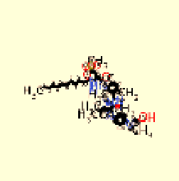 CCCCCCCCCCCC(=O)NC(CCS(C)(=O)=O)C(=O)Nc1c(C)cc(C)c(-c2nnc3n2N=C(C(C)(C)C)/C3=N/c2ccc(N(CC)CCO)cc2C)c1C